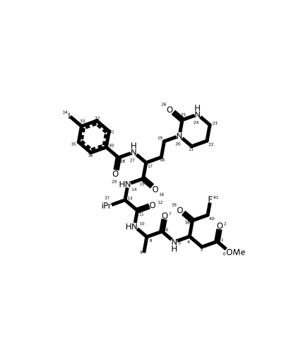 COC(=O)CC(NC(=O)C(C)NC(=O)C(NC(=O)C(CCN1CCCNC1=O)NC(=O)c1ccc(I)cc1)C(C)C)C(=O)CF